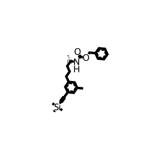 Cc1cc(C#C[Si](C)(C)C)cc(CCC[C@H](C)NC(=O)OCc2ccccc2)c1